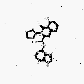 Cc1cccc2cc(C(C)Nc3ncnc4[nH]cnc34)n(C3CCCC3)c(=O)c12